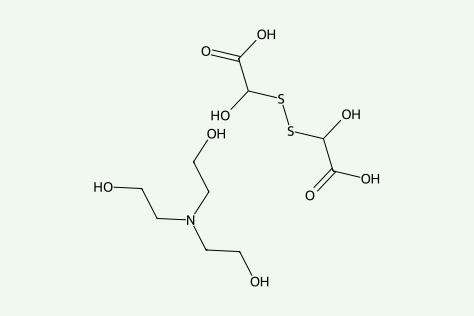 O=C(O)C(O)SSC(O)C(=O)O.OCCN(CCO)CCO